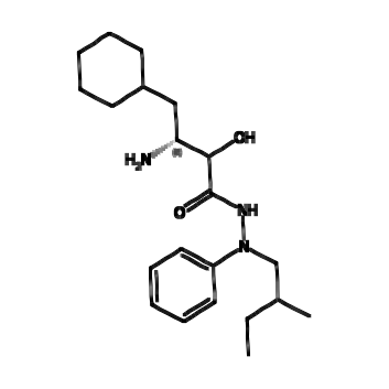 CCC(C)CN(NC(=O)C(O)[C@H](N)CC1CCCCC1)c1ccccc1